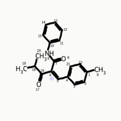 Cc1ccc(/C=C(\C(=O)Nc2ccccc2)C(=O)C(C)C)cc1